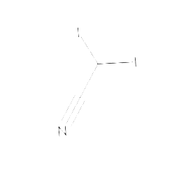 N#CC(I)I